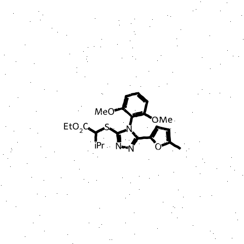 CCOC(=O)C(Sc1nnc(-c2ccc(C)o2)n1-c1c(OC)cccc1OC)C(C)C